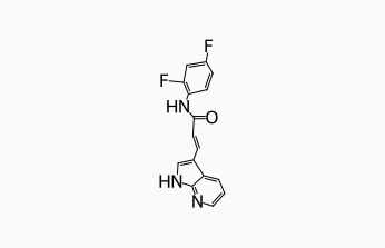 O=C(C=Cc1c[nH]c2ncccc12)Nc1ccc(F)cc1F